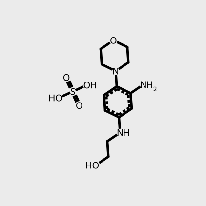 Nc1cc(NCCO)ccc1N1CCOCC1.O=S(=O)(O)O